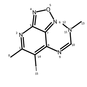 Cc1nc2nonc2c(/N=C\N(C)C)c1I